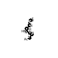 CC(=O)c1ccc(-c2ccnc3[nH]c(-c4n[nH]c5ccc(-c6cncc(CN7CCC(F)(F)C7)c6)cc45)cc23)s1